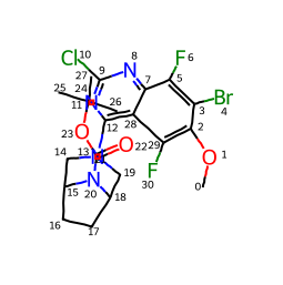 COc1c(Br)c(F)c2nc(Cl)nc(N3CC4CCC(C3)N4C(=O)OC(C)(C)C)c2c1F